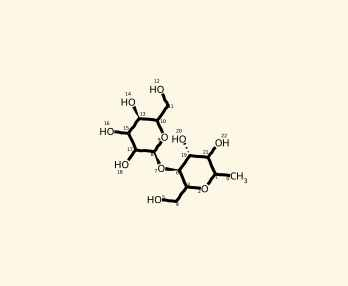 CC1OC(CO)[C@@H](O[C@@H]2OC(CO)[C@H](O)C(O)C2O)[C@H](O)C1O